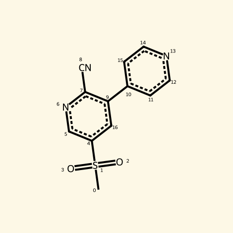 CS(=O)(=O)c1cnc(C#N)c(-c2ccncc2)c1